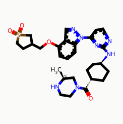 C[C@H]1CN(C(=O)[C@H]2CC[C@H](Nc3nccc(-n4ncc5c(OCC6CCS(=O)(=O)C6)cccc54)n3)CC2)CCN1